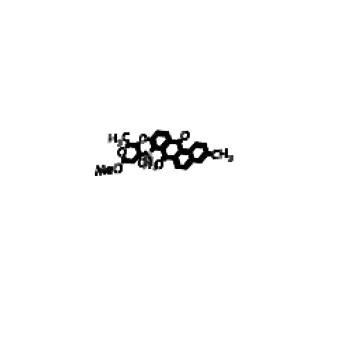 CO[C@@H]1C[C@@]2(C)Nc3c(ccc4c3C(=O)c3ccc5cc(C)ccc5c3C4=O)OC2[C@H](C)O1